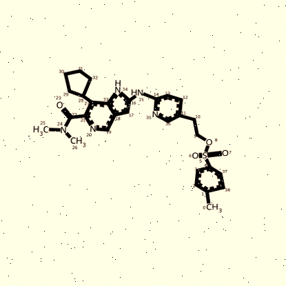 Cc1ccc(S(=O)(=O)OCCc2ccc(Nc3cc4cnc(C(=O)N(C)C)c(C5CCCC5)c4[nH]3)nc2)cc1